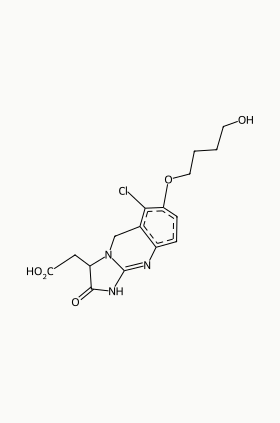 O=C(O)CC1C(=O)NC2=Nc3ccc(OCCCCO)c(Cl)c3CN21